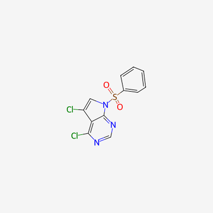 O=S(=O)(c1ccccc1)n1cc(Cl)c2c(Cl)ncnc21